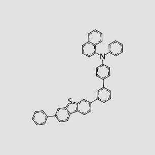 c1ccc(-c2ccc3c(c2)sc2cc(-c4cccc(-c5ccc(N(c6ccccc6)c6cccc7ccccc67)cc5)c4)ccc23)cc1